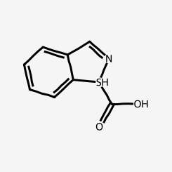 O=C(O)[SH]1N=Cc2ccccc21